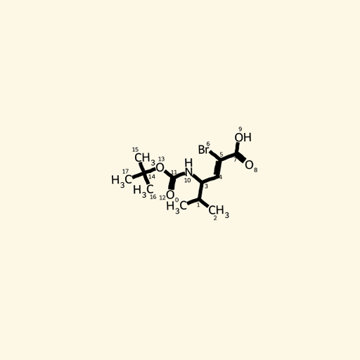 CC(C)C(C=C(Br)C(=O)O)NC(=O)OC(C)(C)C